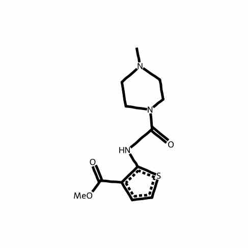 COC(=O)c1ccsc1NC(=O)N1CCN(C)CC1